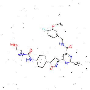 COc1cc(CNC(=O)c2cc(C3=NOC(C4CCC(NC(=O)NCCO)CC4)C3)nc(C)n2)ccc1F